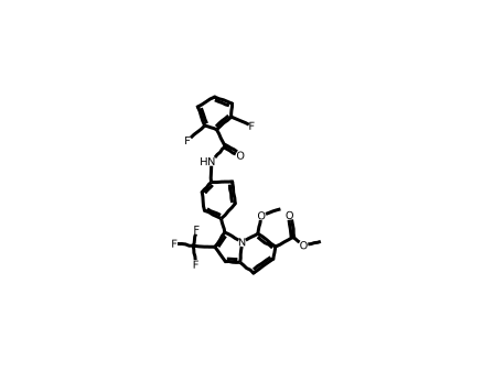 COC(=O)c1ccc2cc(C(F)(F)F)c(-c3ccc(NC(=O)c4c(F)cccc4F)cc3)n2c1OC